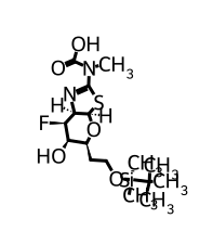 CN(C(=O)O)C1=N[C@@H]2[C@H](F)[C@H](O)[C@H](CCO[Si](C)(C)C(C)(C)C)O[C@@H]2S1